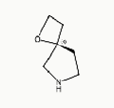 C1C[C@@]2(CCO2)CN1